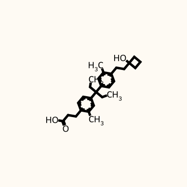 CCC(CC)(c1ccc(CCC(=O)O)c(C)c1)c1ccc(CCC2(O)CCC2)c(C)c1